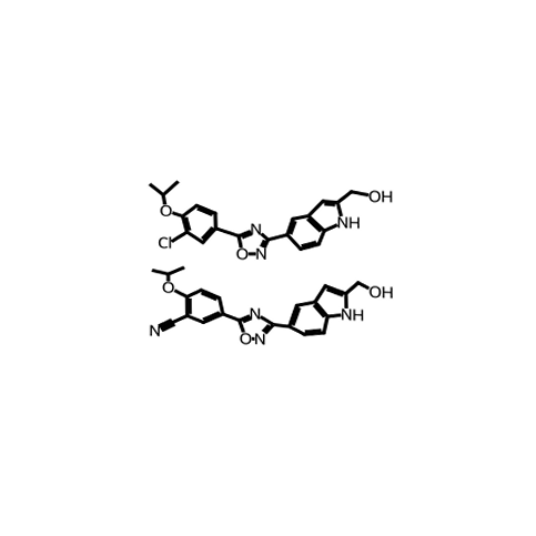 CC(C)Oc1ccc(-c2nc(-c3ccc4[nH]c(CO)cc4c3)no2)cc1C#N.CC(C)Oc1ccc(-c2nc(-c3ccc4[nH]c(CO)cc4c3)no2)cc1Cl